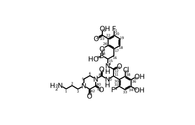 NCCCN1CCN(C(=O)NC(C(=O)NC2Cc3ccc(F)c(C(=O)O)c3OB2O)c2c(F)cc(O)c(O)c2Cl)C(=O)C1=O